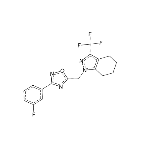 Fc1cccc(-c2noc(Cn3nc(C(F)(F)F)c4c3CCCC4)n2)c1